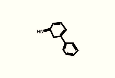 N=C1C=CC=C(c2ccccc2)C1